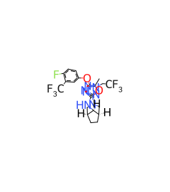 Cc1nnc(N2C[C@H]3CC[C@@H](C2)[C@H]3Nc2nc(Oc3ccc(F)c(C(F)(F)F)c3)n(CC(F)(F)F)n2)o1